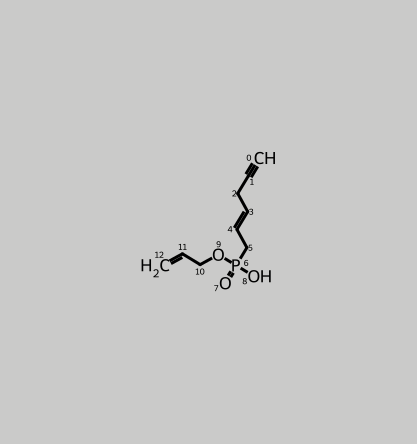 C#CCC=CCP(=O)(O)OCC=C